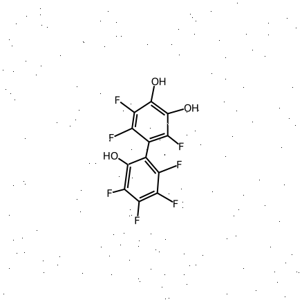 Oc1c(O)c(F)c(-c2c(O)c(F)c(F)c(F)c2F)c(F)c1F